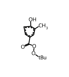 Cc1cc(C(=O)OOC(C)(C)C)ccc1O